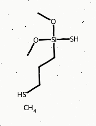 C.CO[Si](S)(CCCS)OC